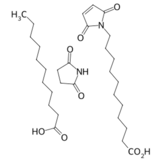 CCCCCCCCCCC(=O)O.O=C(O)CCCCCCCCCCN1C(=O)C=CC1=O.O=C1CCC(=O)N1